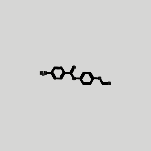 Nc1ccc(C(=O)Oc2ccc(OC=O)cc2)cc1